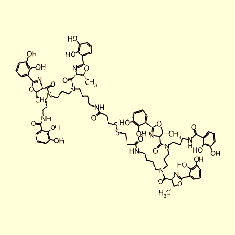 C[C@H]1OC(c2cccc(O)c2O)=N[C@@H]1C(=O)N(CCCCNC(=O)CCSSCCC(=O)NCCCCN(CCCN(CCCNC(=O)c1cccc(O)c1O)C(=O)[C@H]1N=C(c2cccc(O)c2O)O[C@@H]1C)C(=O)[C@H]1N=C(c2cccc(O)c2O)O[C@@H]1C)CCCN(CCCNC(=O)c1cccc(O)c1O)C(=O)[C@H]1N=C(c2cccc(O)c2O)O[C@@H]1C